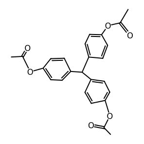 CC(=O)Oc1ccc(C(c2ccc(OC(C)=O)cc2)c2ccc(OC(C)=O)cc2)cc1